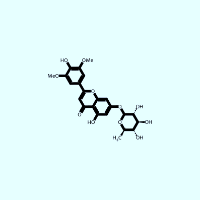 COc1cc(-c2cc(=O)c3c(O)cc(OC4O[C@H](C)[C@@H](O)[C@H](O)[C@H]4O)cc3o2)cc(OC)c1O